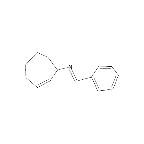 C1=CC(N=Cc2ccccc2)CCCC1